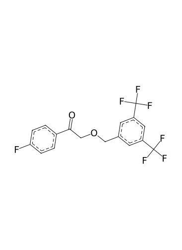 O=C(COCc1cc(C(F)(F)F)cc(C(F)(F)F)c1)c1ccc(F)cc1